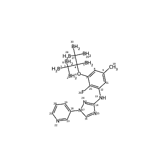 BC(B)(B)C(B)(Oc1cc(C)cc(Nc2ncn(-c3cccnc3)n2)c1F)C(B)(B)B